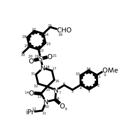 COc1ccc(CCN2C(=O)N(CC(C)C)C(=O)C23CCN(S(=O)(=O)c2cc(CC=O)ccc2C)CC3)cc1